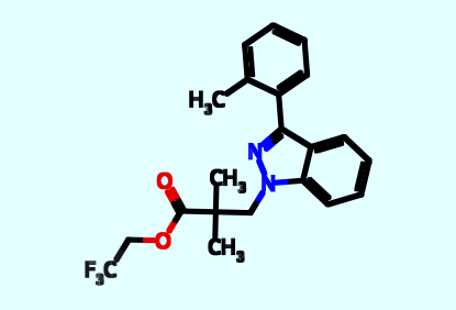 Cc1ccccc1-c1nn(CC(C)(C)C(=O)OCC(F)(F)F)c2ccccc12